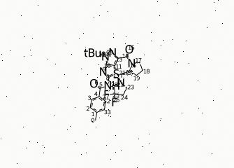 Cc1ccc(C(=O)Nc2nc3c(s2)c(C(=O)N2CCC[C@H]2CN2CCC(F)(F)C2)nn3C(C)(C)C)cc1